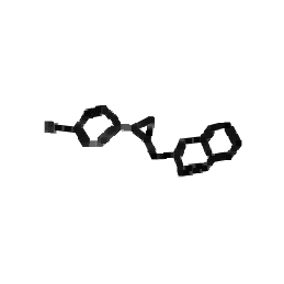 Brc1ccc(C2CC2Cc2ccc3ccccc3c2)cc1